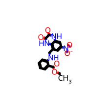 CCOC(=O)c1ccccc1NCc1cc([N+](=O)[O-])cc2[nH]c(=O)c(=O)[nH]c12